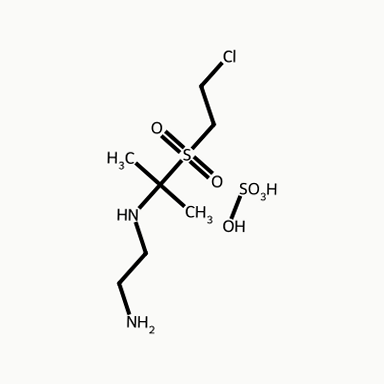 CC(C)(NCCN)S(=O)(=O)CCCl.O=S(=O)(O)O